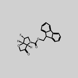 O=C1CO[C@H]2[C@@H]1N(C(=O)OCC1c3ccccc3-c3ccccc31)C[C@@H]2F